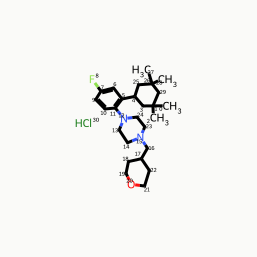 CC1(C)CC(c2cc(F)ccc2N2CCN(CC3CCOCC3)CC2)CC(C)(C)C1.Cl